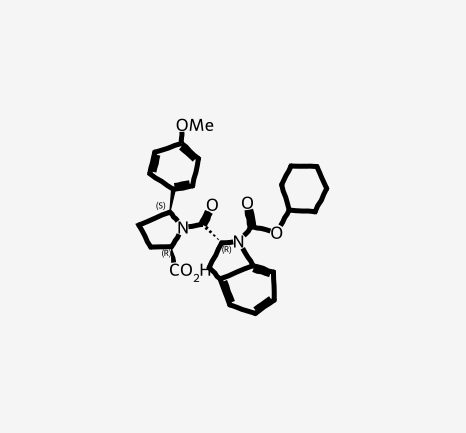 COc1ccc([C@@H]2CC[C@H](C(=O)O)N2C(=O)[C@H]2Cc3ccccc3N2C(=O)OC2CCCCC2)cc1